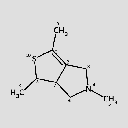 CC1=C2CN(C)CC2C(C)S1